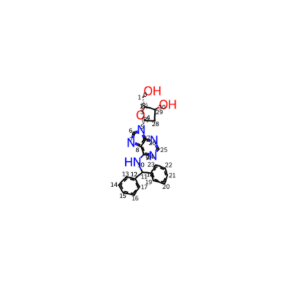 OC[C@H]1O[C@@H](n2cnc3c(NC(c4ccccc4)c4ccccc4)ncnc32)CC1O